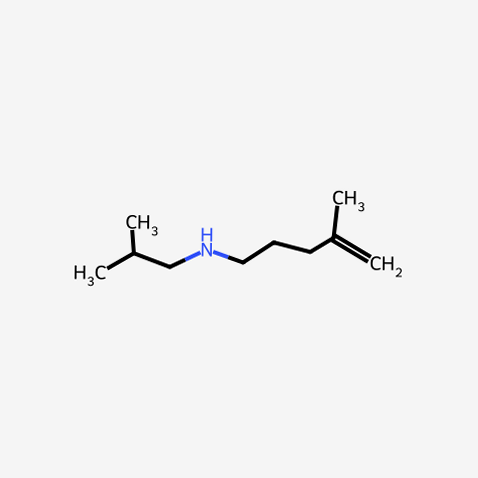 C=C(C)CCCNCC(C)C